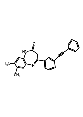 Cc1cc2c(cc1C)NC(=O)CC(c1cccc(C#Cc3ccccc3)c1)=N2